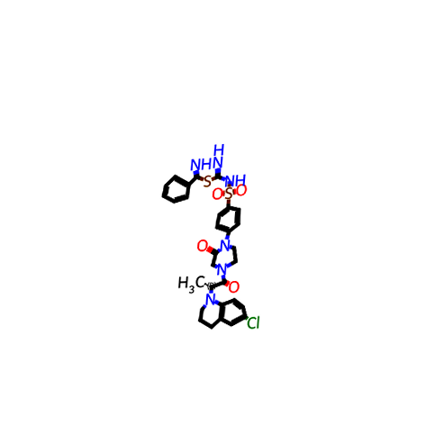 C[C@H](C(=O)N1CCN(c2ccc(S(=O)(=O)NC(=N)SC(=N)c3ccccc3)cc2)C(=O)C1)N1CCCc2cc(Cl)ccc21